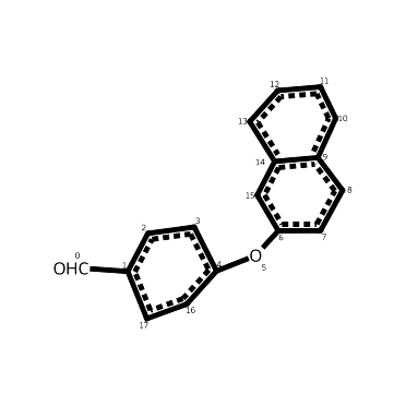 O=Cc1ccc(Oc2ccc3ccccc3c2)cc1